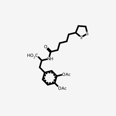 CC(=O)Oc1ccc(CC(NC(=O)CCCCC2CCSS2)C(=O)O)cc1OC(C)=O